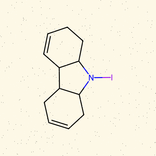 IN1C2CCC=CC2C2CC=CCC21